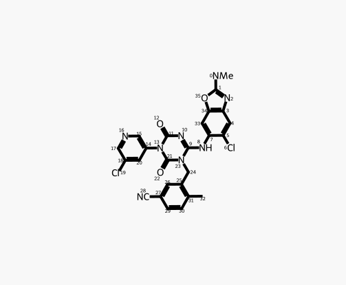 CNc1nc2cc(Cl)c(Nc3nc(=O)n(-c4cncc(Cl)c4)c(=O)n3Cc3cc(C#N)ccc3C)cc2o1